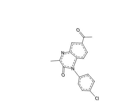 CC(=O)c1ccc2c(c1)nc(C)c(=O)n2-c1ccc(Cl)cc1